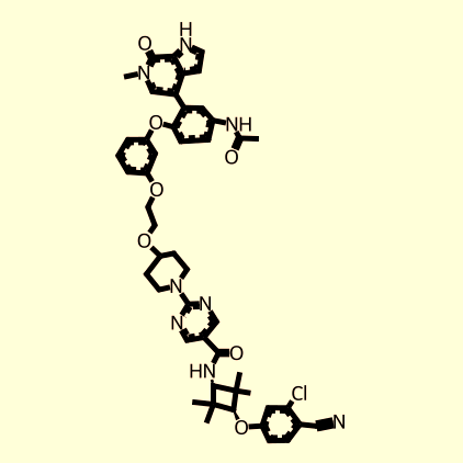 CC(=O)Nc1ccc(Oc2cccc(OCCOC3CCN(c4ncc(C(=O)N[C@H]5C(C)(C)[C@H](Oc6ccc(C#N)c(Cl)c6)C5(C)C)cn4)CC3)c2)c(-c2cn(C)c(=O)c3[nH]ccc23)c1